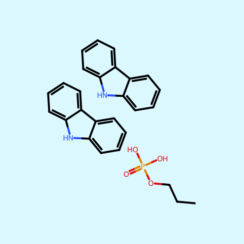 CCCOP(=O)(O)O.c1ccc2c(c1)[nH]c1ccccc12.c1ccc2c(c1)[nH]c1ccccc12